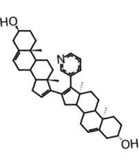 C[C@]12CC[C@H](O)CC1=CCC1C2CC[C@]2(C)C(C3=C(c4cccnc4)[C@@]4(C)CCC5C(CC=C6C[C@@H](O)CC[C@@]65C)C4C3)=CCC12